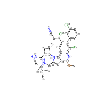 CSc1nc2c(F)c(-c3cccc(Cl)c3Cl)c(CCC#N)cc2c2c1cc([C@H]1C[C@H]3C[C@H]3N1)n2[C@H]1[C@@H](CN)C[C@@H]1C